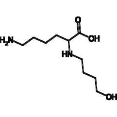 NCCCCC(NCCCCO)C(=O)O